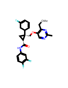 COCc1nc(C)ncc1OC[C@@]1(C2C=CC=C(F)C2)C[C@H]1C(=O)Nc1ccc(F)c(F)c1